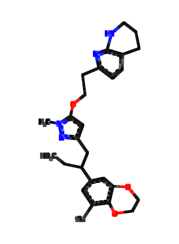 Cn1nc(CC(CC(=O)O)c2cc3c(c(C(C)(C)C)c2)OCCO3)cc1OCCc1ccc2c(n1)NCCC2